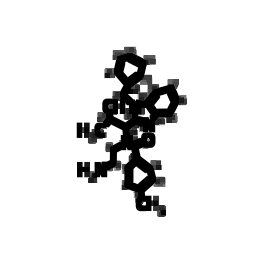 Cc1ccc(C(=O)N(CCN)C(c2nc3ccccc3n2Cc2ccccc2)C(C)C)cc1